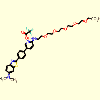 CN(C)c1ccc2nc(-c3ccc(-c4ccc(NCCOCCOCCOCCOCCOCC(=O)O)nc4)cc3)sc2c1.O=C(O)C(F)(F)F